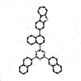 c1ccc2cc(-c3nc(-c4ccc5ccccc5c4)nc(-c4ccc(-c5ccc6c(c5)sc5ccccc56)c5ccccc45)n3)ccc2c1